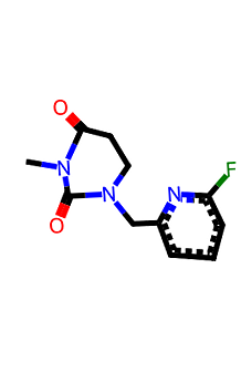 CN1C(=O)CCN(Cc2cccc(F)n2)C1=O